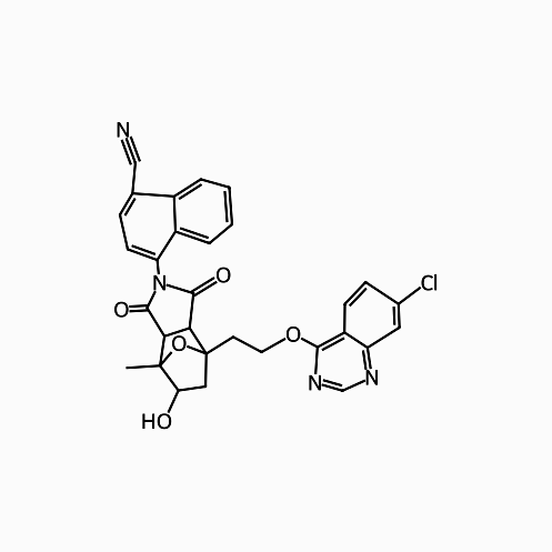 CC12OC(CCOc3ncnc4cc(Cl)ccc34)(CC1O)C1C(=O)N(c3ccc(C#N)c4ccccc34)C(=O)C12